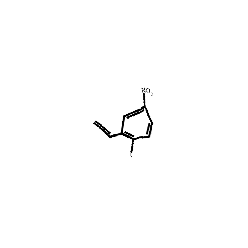 C=Cc1cc([N+](=O)[O-])ccc1I